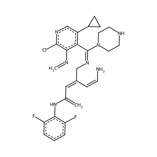 C=Nc1c(Cl)ncc(C2CC2)c1/C(=N\CC(/C=C\N)=C/C(=C)Nc1c(F)cccc1F)N1CCNCC1